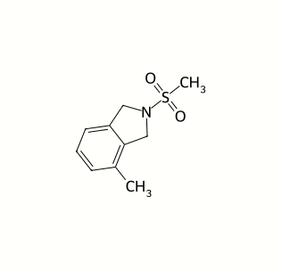 Cc1cccc2c1CN(S(C)(=O)=O)C2